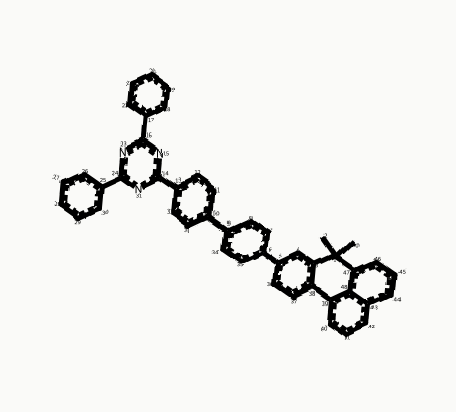 CC1(C)c2cc(-c3ccc(-c4ccc(-c5nc(-c6ccccc6)nc(-c6ccccc6)n5)cc4)cc3)ccc2-c2cccc3cccc1c23